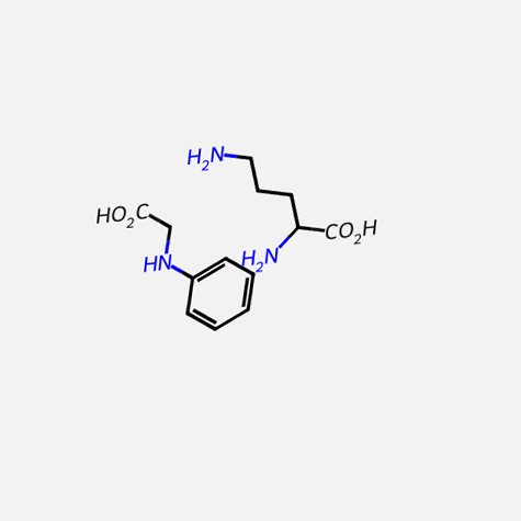 NCCCC(N)C(=O)O.O=C(O)CNc1ccccc1